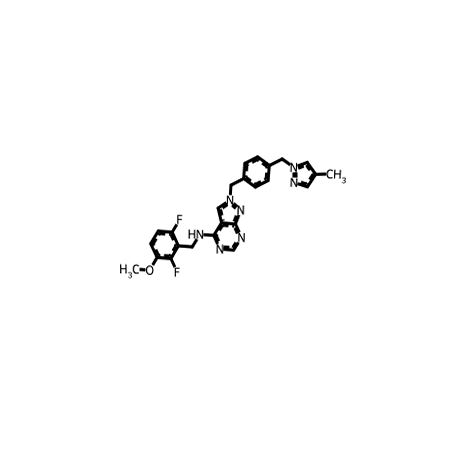 COc1ccc(F)c(CNc2ncnc3nn(Cc4ccc(Cn5cc(C)cn5)cc4)cc23)c1F